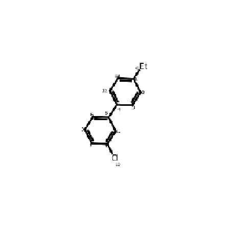 CCc1[c]cc(-c2cccc(Cl)c2)cc1